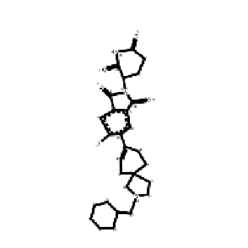 O=C1CCC(N2C(=O)c3cc(F)c(C4=CCC5(CC4)CCN(CC4CCCCC4)C5)cc3C2=O)C(=O)N1